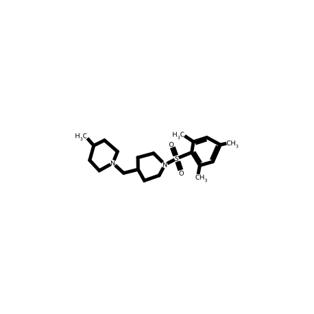 Cc1cc(C)c(S(=O)(=O)N2CCC(CN3CCC(C)CC3)CC2)c(C)c1